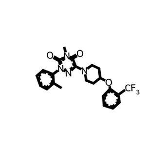 Cc1ccccc1-n1nc(N2CCC(Oc3ccccc3C(F)(F)F)CC2)c(=O)n(C)c1=O